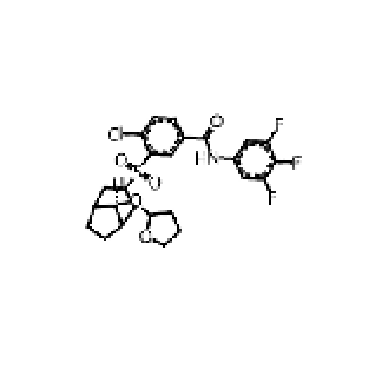 O=C(Nc1cc(F)c(F)c(F)c1)c1ccc(Cl)c(S(=O)(=O)[C@H]2CC3CCC(C2)[C@H]3OC2CCCO2)c1